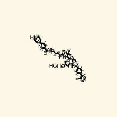 Cc1ncsc1-c1ccc([C@H](C)NC(=O)[C@@H]2C[C@@H](O)CN2C(=O)[C@@H](NC(=O)CCCCCNC(=O)c2ccc(N3CCNCC3)nc2)C(C)(C)C)cc1.Cl